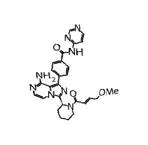 COCC=CC(=O)N1CCCC[C@H]1c1nc(-c2ccc(C(=O)Nc3ccncn3)cc2)c2c(N)nccn12